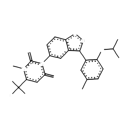 Cc1ccc(OC(C)C)c(-c2nsc3ccc(-n4c(=O)cc(C(F)(F)F)n(C)c4=O)cc23)c1